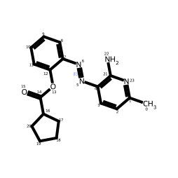 Cc1ccc(/N=N/c2ccccc2OC(=O)C2CCCC2)c(N)n1